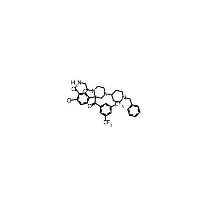 NCC(=O)N1CCN(C2CCN(Cc3ccccc3)CC2)CC1(C(=O)c1cc(C(F)(F)F)cc(C(F)(F)F)c1)c1ccc(Cl)c(Cl)c1